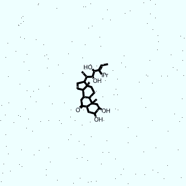 C/C=C(\C(C)C)C(O)C(O)C(C)C1CCC2C3CC(=O)C4CC(O)C(O)CC4(C)C3CCC12C